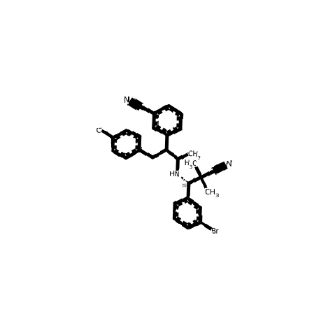 CC(N[C@@H](c1cccc(Br)c1)C(C)(C)C#N)C(Cc1ccc(Cl)cc1)c1cccc(C#N)c1